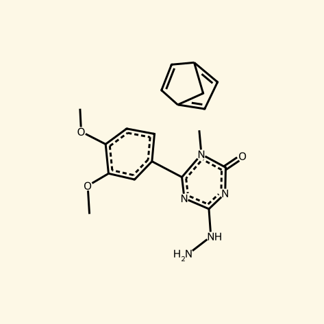 C1=CC2=CC=C1C2.COc1ccc(-c2nc(NN)nc(=O)n2C)cc1OC